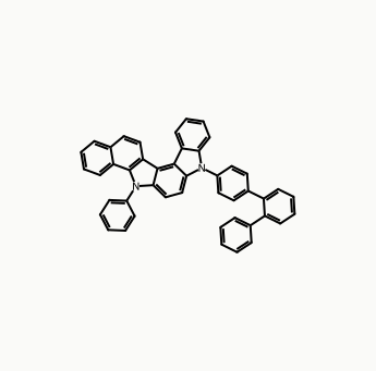 c1ccc(-c2ccccc2-c2ccc(-n3c4ccccc4c4c5c6ccc7ccccc7c6n(-c6ccccc6)c5ccc43)cc2)cc1